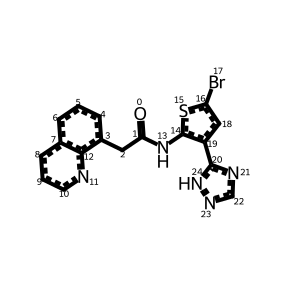 O=C(Cc1cccc2cccnc12)Nc1sc(Br)cc1-c1ncn[nH]1